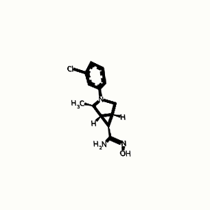 C[C@@H]1[C@@H]2[C@H](CN1c1cccc(Cl)c1)[C@H]2/C(N)=N/O